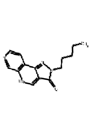 CCCCCn1nc2c3ccncc3[nH]cc-2c1=O